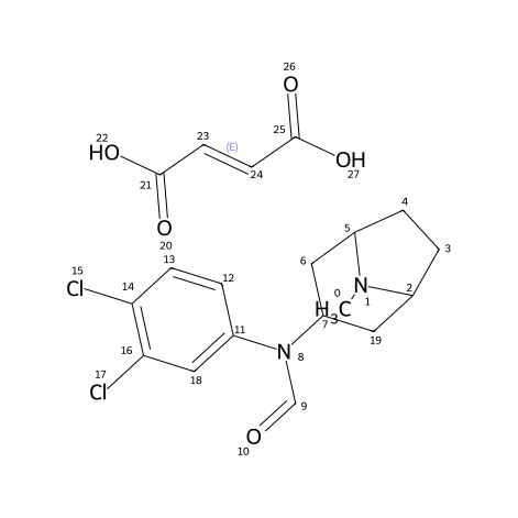 CN1C2CCC1CC(N(C=O)c1ccc(Cl)c(Cl)c1)C2.O=C(O)/C=C/C(=O)O